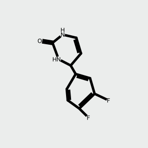 O=C1NC=CC(c2ccc(F)c(F)c2)N1